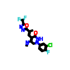 C=NC1=C(/C=C(\C)c2nnc(C(F)F)o2)C(=O)NN(c2ccc(F)c(Cl)c2)C1